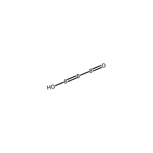 O=BB=BO